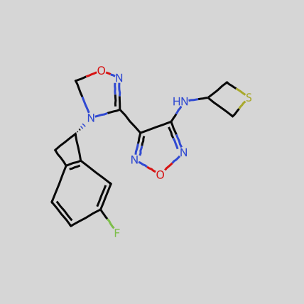 Fc1ccc2c(c1)[C@@H](N1CON=C1c1nonc1NC1CSC1)C2